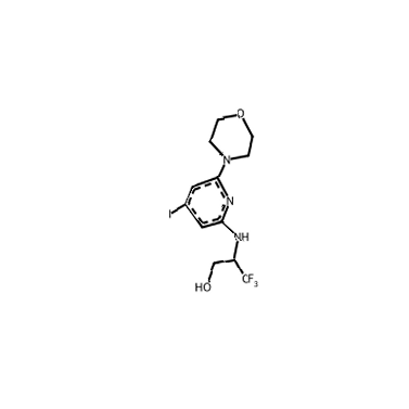 OCC(Nc1cc(I)cc(N2CCOCC2)n1)C(F)(F)F